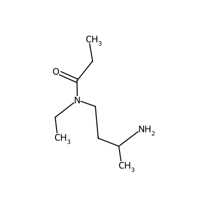 CCC(=O)N(CC)CCC(C)N